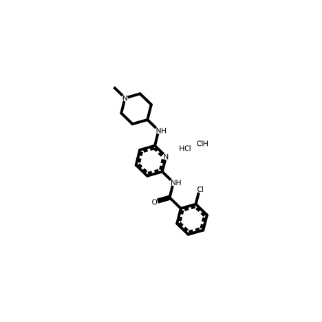 CN1CCC(Nc2cccc(NC(=O)c3ccccc3Cl)n2)CC1.Cl.Cl